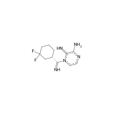 N=C([C@H]1CCCC(F)(F)C1)n1ccnc(N)c1=N